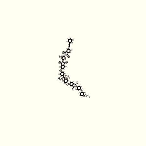 Cc1cccc(Oc2ccc(N3C(=O)c4ccc(Oc5ccc(C(C)(C)c6ccc(Oc7ccc8c(c7)C(=O)N(c7n[nH]c(N9C(=O)c%10ccc(C#Cc%11ccccc%11)cc%10C9=O)n7)C8=O)cc6)cc5)cc4C3=O)cc2)c1